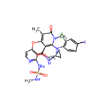 CNS(=O)(=O)Nc1nccc(Oc2c(C(=O)NC3CC3)c(Nc3ccc(I)cc3F)n(C)c(=O)c2C)c1OC